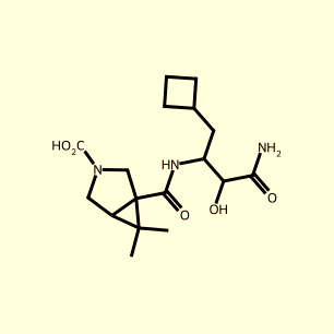 CC1(C)C2CN(C(=O)O)CC21C(=O)NC(CC1CCC1)C(O)C(N)=O